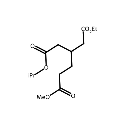 CCOC(=O)C[C](CCC(=O)OC)CC(=O)OC(C)C